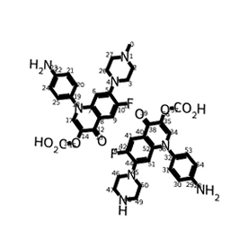 CN1CCN(c2cc3c(cc2F)c(=O)c(OC(=O)O)cn3-c2ccc(N)cc2)CC1.Nc1ccc(-n2cc(OC(=O)O)c(=O)c3cc(F)c(N4CCNCC4)cc32)cc1